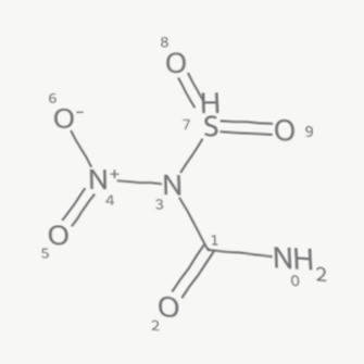 NC(=O)N([N+](=O)[O-])[SH](=O)=O